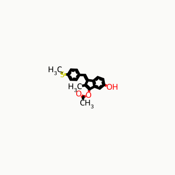 CSc1ccc(C=C2C(C)=C(OC(C)=O)c3cc(O)ccc32)cc1